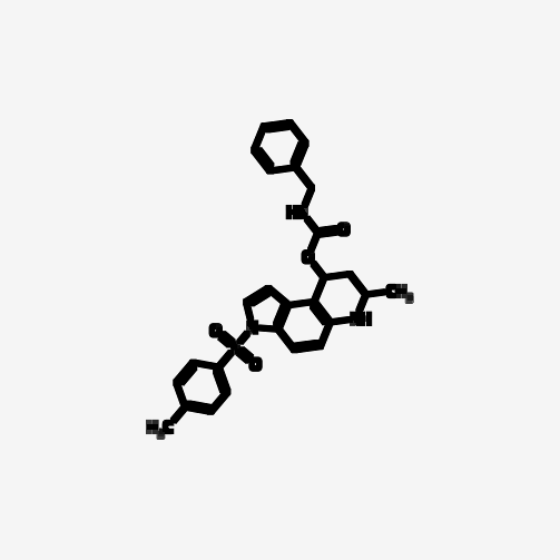 Cc1ccc(S(=O)(=O)n2ccc3c4c(ccc32)NC(C)CC4OC(=O)NCc2ccccc2)cc1